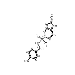 O=C1C=c2cc(S(=O)(=O)ONc3ccc(Cl)cc3)ccc2=N1